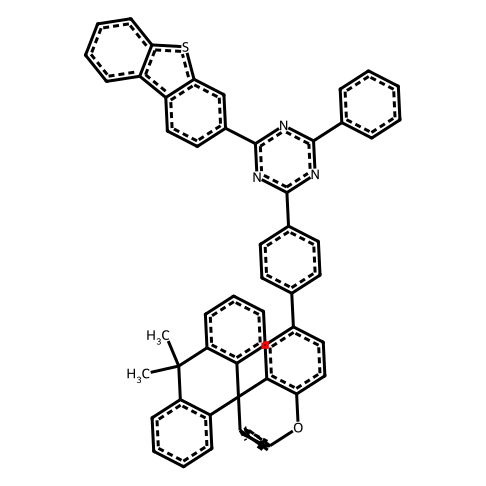 CC1(C)c2ccccc2C2(c3ccccc3Oc3ccc(-c4ccc(-c5nc(-c6ccccc6)nc(-c6ccc7c(c6)sc6ccccc67)n5)cc4)cc32)c2ccccc21